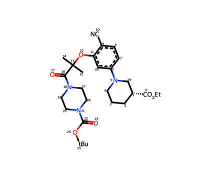 CCOC(=O)[C@@H]1CCCN(c2ccc(C#N)c(OC(C)(C)C(=O)N3CCN(C(=O)OC(C)(C)C)CC3)c2)C1